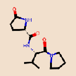 CC(C)[C@H](NC(=O)[C@@H]1CCC(=O)N1)C(=O)N1CCCC1